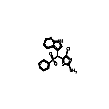 Nc1nc(Cl)c(C(c2c[nH]c3ncccc23)S(=O)(=O)c2ccccc2)s1